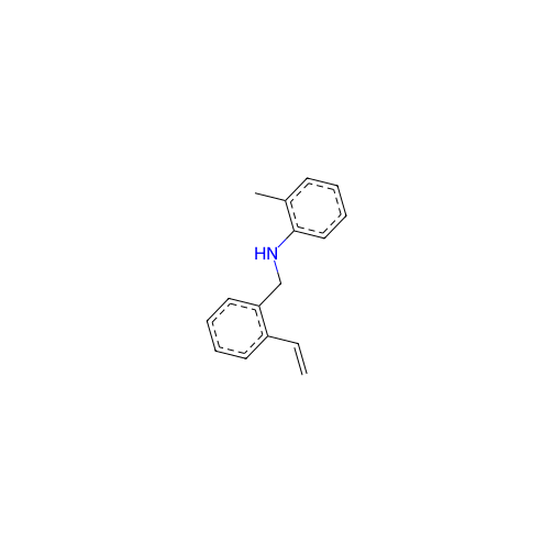 C=Cc1ccccc1CNc1ccccc1C